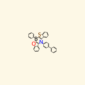 c1ccc(B2c3oc4ccccc4c3N(c3ccc(-c4ccccc4)cc3)c3c2sc2ccccc32)cc1